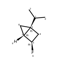 CC(C)[C@@]12C[C@@H](F)[C@@H]1C2